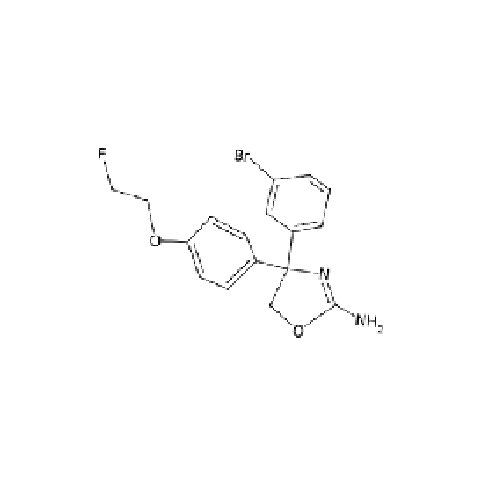 NC1=NC(c2ccc(OCCF)cc2)(c2cccc(Br)c2)CO1